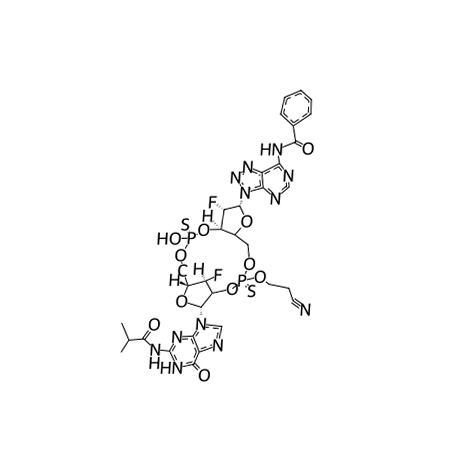 CC(C)C(=O)Nc1nc2c(ncn2[C@@H]2O[C@@H]3COP(O)(=S)O[C@@H]4C(COP(=S)(OCCC#N)OC2[C@@H]3F)O[C@@H](n2nnc3c(NC(=O)c5ccccc5)ncnc32)[C@H]4F)c(=O)[nH]1